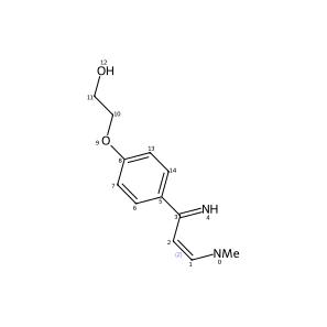 CN/C=C\C(=N)c1ccc(OCCO)cc1